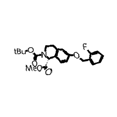 COC(=O)[C@H]1c2ccc(OCc3ccccc3F)cc2CCN1C(=O)OC(C)(C)C